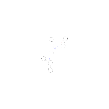 c1ccc(-c2nc(-c3ccc(-n4c5ccccc5c5c6sc7ccccc7c6ccc54)cc3)nc(-c3cccc4c3oc3ccccc34)n2)cc1